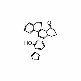 O=C1CCCC2C=Cc3c(ccc4ccccc34)C12.Oc1ccccc1.c1ccsc1